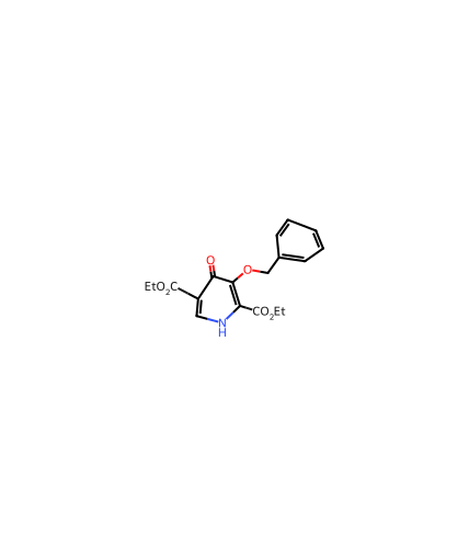 CCOC(=O)c1[nH]cc(C(=O)OCC)c(=O)c1OCc1ccccc1